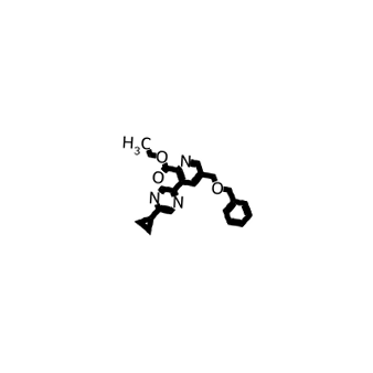 CCOC(=O)c1ncc(COCc2ccccc2)cc1-c1cnc(C2CC2)cn1